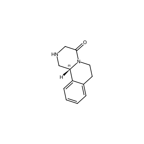 O=C1CNC[C@H]2c3ccccc3CCN12